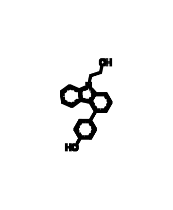 OCCn1c2ccccc2c2c(-c3ccc(O)cc3)cccc21